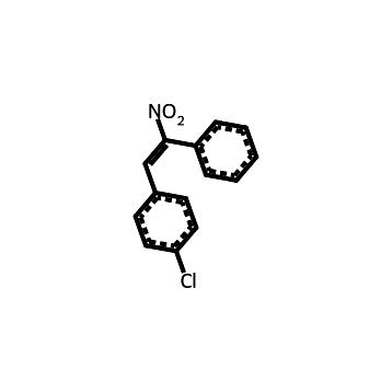 O=[N+]([O-])C(=Cc1ccc(Cl)cc1)c1ccccc1